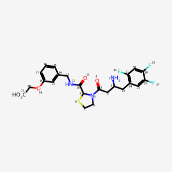 NC(CC(=O)N1CCSC1C(=O)NCc1cccc(OCC(=O)O)c1)Cc1cc(F)c(F)cc1F